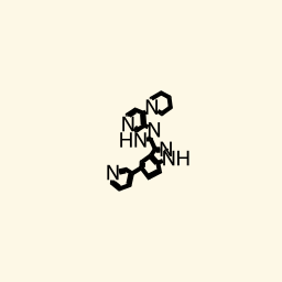 c1cncc(-c2ccc3[nH]nc(-c4nc5c(N6CCCCC6)ccnc5[nH]4)c3c2)c1